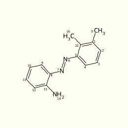 Cc1cccc(N=Nc2ccccc2N)c1C